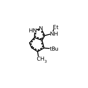 CCNc1n[nH]c2ccc(C)c(C(C)(C)C)c12